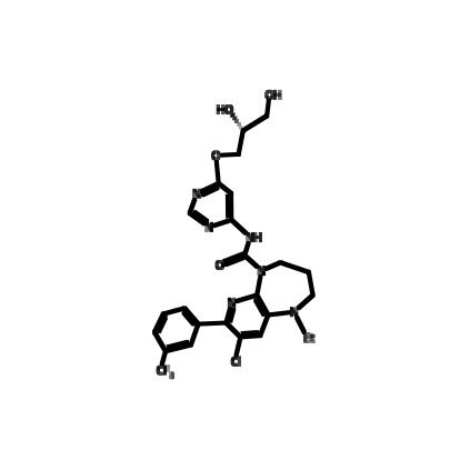 CCN1CCCN(C(=O)Nc2cc(OC[C@H](O)CO)ncn2)c2nc(-c3cccc(C(F)(F)F)c3)c(Cl)cc21